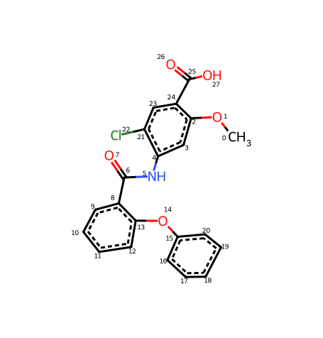 COc1cc(NC(=O)c2ccccc2Oc2ccccc2)c(Cl)cc1C(=O)O